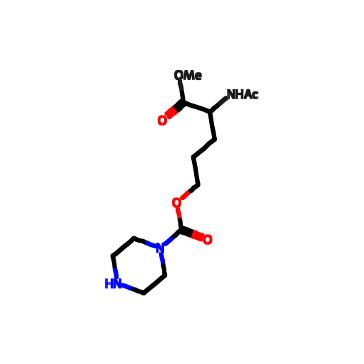 COC(=O)C(CCCOC(=O)N1CCNCC1)NC(C)=O